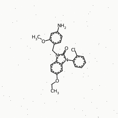 CCOc1ccc2c(c1)n(-c1ccccc1Cl)c(=O)n2Cc1ccc(N)cc1OC